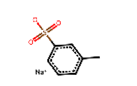 Cc1cccc(S(=O)(=O)[O-])c1.[Na+]